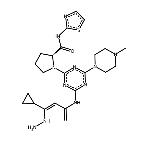 C=C(/C=C(\NN)C1CC1)Nc1nc(N2CCN(C)CC2)nc(N2CCC[C@H]2C(=O)Nc2nccs2)n1